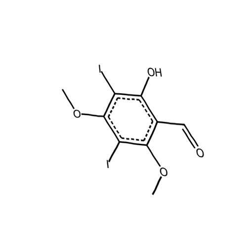 COc1c(I)c(O)c(C=O)c(OC)c1I